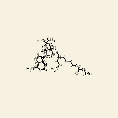 CC(C)(C)OC(=O)NCCCCN(CCN)C[C@H]1O[C@@H](n2cnc3c(N)ncnc32)[C@@H]2OC(C)(C)O[C@@H]21